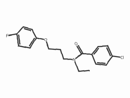 CCN(CCCOc1ccc(F)cc1)C(=O)c1ccc(Cl)cc1